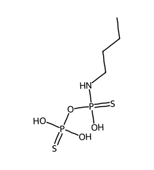 CCCCNP(O)(=S)OP(O)(O)=S